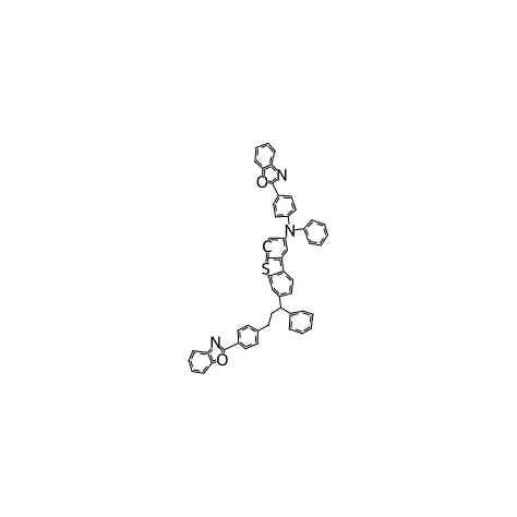 c1ccc(C(CCc2ccc(-c3nc4ccccc4o3)cc2)c2ccc3c(c2)sc2ccc(N(c4ccccc4)c4ccc(-c5nc6ccccc6o5)cc4)cc23)cc1